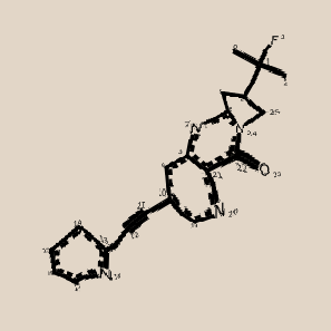 CC(C)(F)C1Cc2nc3cc(C#Cc4ccccn4)cnc3c(=O)n2C1